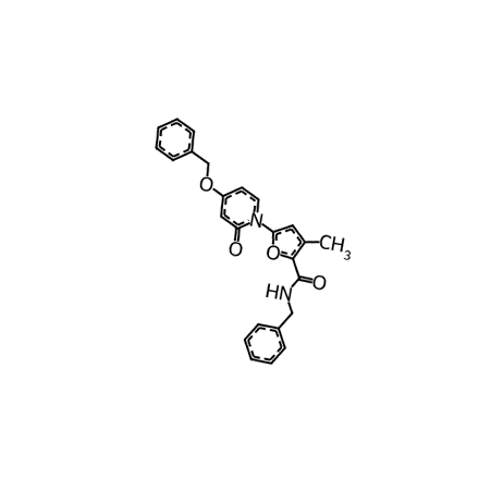 Cc1cc(-n2ccc(OCc3ccccc3)cc2=O)oc1C(=O)NCc1ccccc1